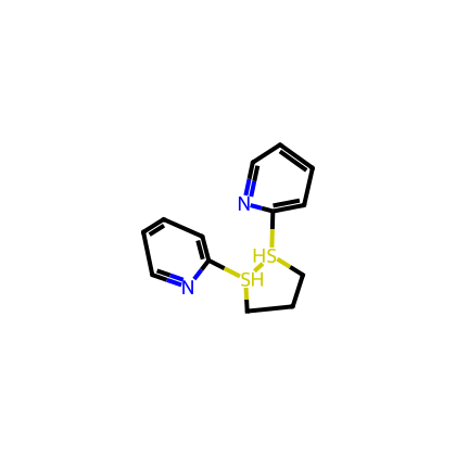 c1ccc([SH]2CCC[SH]2c2ccccn2)nc1